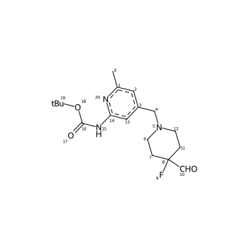 Cc1cc(CN2CCC(F)(C=O)CC2)cc(NC(=O)OC(C)(C)C)n1